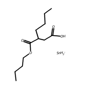 CCCCOC(=O)C(CCCC)CC(=O)O.[SnH2]